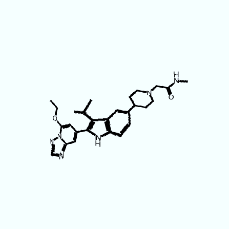 CCOc1cc(-c2[nH]c3ccc(C4CCN(CC(=O)NC)CC4)cc3c2C(C)C)cc2ncnn12